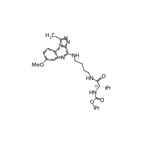 COc1ccc2c(c1)nc(NCCCCNC(=O)[C@@H](NC(=O)OC(C)C)C(C)C)c1nnc(C)n12